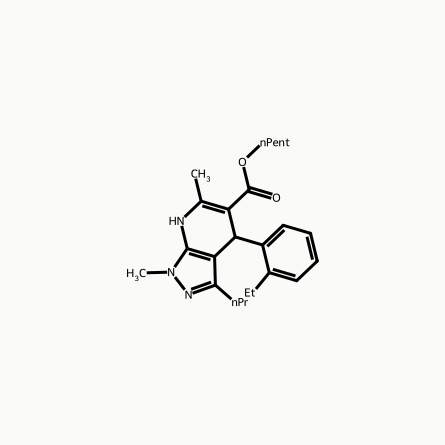 CCCCCOC(=O)C1=C(C)Nc2c(c(CCC)nn2C)C1c1ccccc1CC